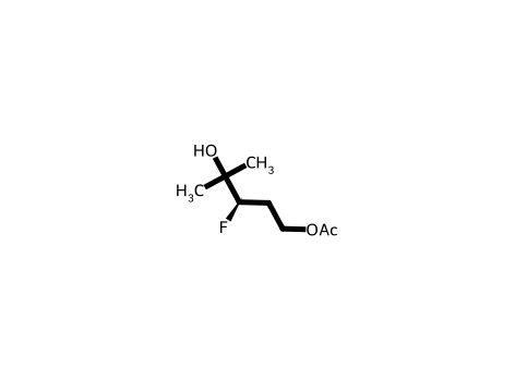 CC(=O)OCC[C@@H](F)C(C)(C)O